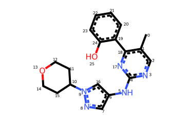 Cc1cnc(Nc2cnn(C3CCOCC3)c2)nc1-c1ccccc1O